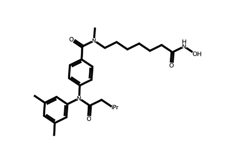 Cc1cc(C)cc(N(C(=O)CC(C)C)c2ccc(C(=O)N(C)CCCCCCC(=O)NO)cc2)c1